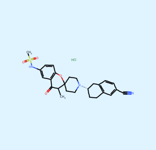 CC1C(=O)c2cc(NS(C)(=O)=O)ccc2OC12CCN([C@H]1CCc3cc(C#N)ccc3C1)CC2.Cl